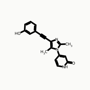 Cc1nc(C#Cc2cccc(O)c2)c(C)n1-c1cc[nH]c(=O)c1